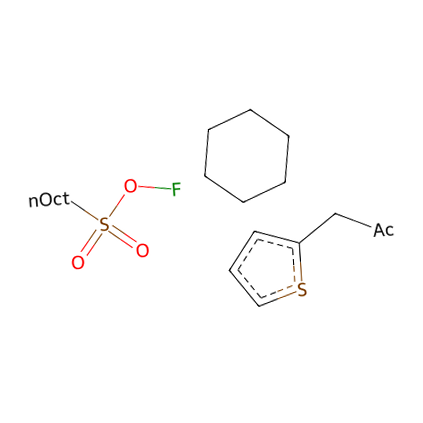 C1CCCCC1.CC(=O)Cc1cccs1.CCCCCCCCS(=O)(=O)OF